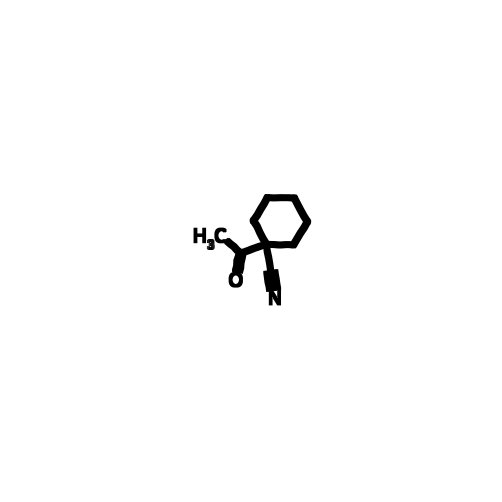 CC(=O)C1(C#N)CCCCC1